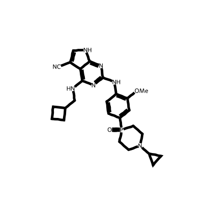 COc1cc(P2(=O)CCN(C3CC3)CC2)ccc1Nc1nc(NCC2CCC2)c2c(C#N)c[nH]c2n1